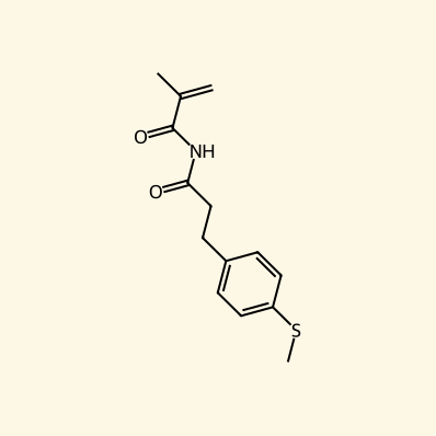 C=C(C)C(=O)NC(=O)CCc1ccc(SC)cc1